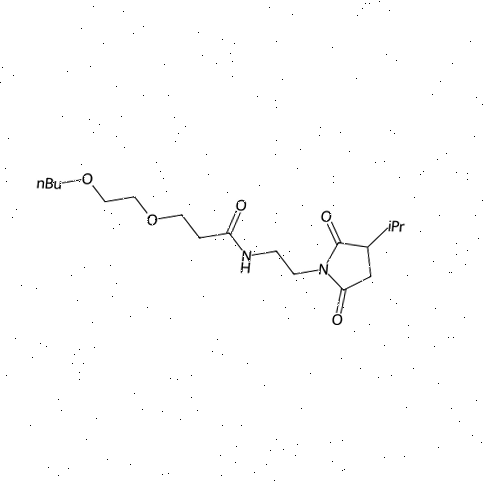 CCCCOCCOCCC(=O)NCCN1C(=O)CC(C(C)C)C1=O